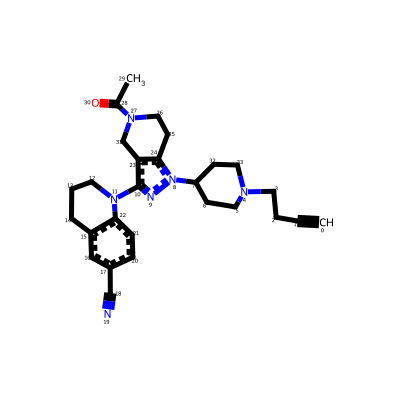 C#CCCN1CCC(n2nc(N3CCCc4cc(C#N)ccc43)c3c2CCN(C(C)=O)C3)CC1